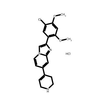 COc1cc(OC)c(-c2cn3ccc(C4=CCNCC4)cc3n2)cc1Cl.Cl